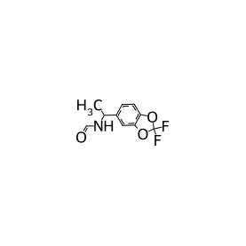 CC(NC=O)c1ccc2c(c1)OC(F)(F)O2